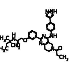 CCC(=O)N1CCc2nc(-c3cccc(OCC(=O)NC(C)(C)CC)c3)nc(Nc3ccc(-c4cn[nH]c4)cc3)c2C1